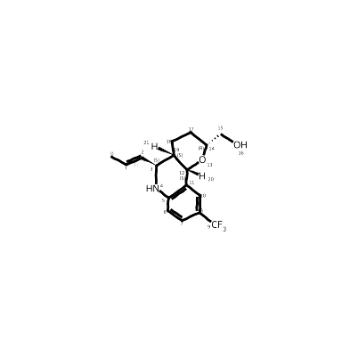 C/C=C/[C@@H]1Nc2ccc(C(F)(F)F)cc2[C@H]2O[C@@H](CO)CC[C@@H]12